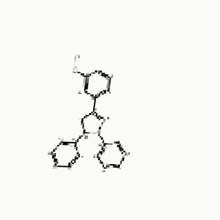 COc1cccc(C2=NN(c3ccccc3)C(c3ccccc3)C2)c1